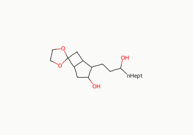 CCCCCCCC(O)CCC1C(O)CC2C1CC21OCCO1